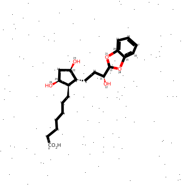 O=C(O)CCCCCC[C@@H]1[C@@H](CC[C@@H](O)C2Oc3ccccc3O2)[C@H](O)C[C@@H]1O